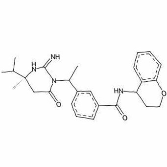 CC(c1cccc(C(=O)NC2CCOc3ccccc32)c1)N1C(=N)N[C@](C)(C(C)C)CC1=O